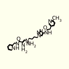 Cc1ccc(CC(=O)Nc2cn(CCCCN(N)/C=C(\N)C(=O)NCc3ccccn3)nn2)cn1